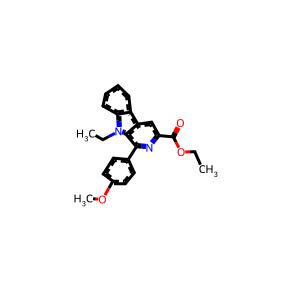 CCOC(=O)c1cc2c3ccccc3n(CC)c2c(-c2ccc(OC)cc2)n1